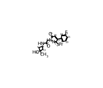 CC(C)c1nn(CC(=O)N[C@H]2C[C@@](C)(O)C2)c(=O)cc1-c1cccc(F)c1